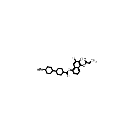 C=CC(=O)Oc1c(Cl)c(Cl)cc2c(OC(=O)C3CCC(C4CCC(CCCC)CC4)CC3)cccc12